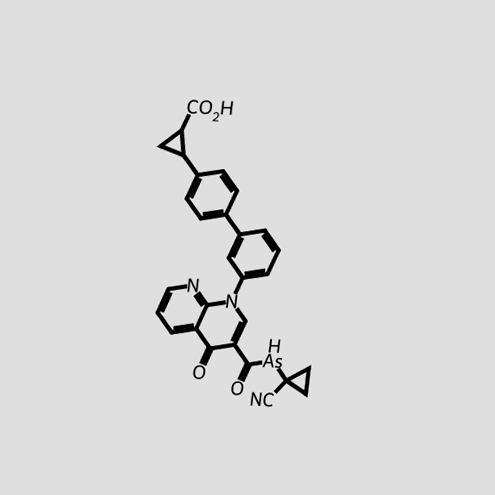 N#CC1([AsH]C(=O)c2cn(-c3cccc(-c4ccc(C5CC5C(=O)O)cc4)c3)c3ncccc3c2=O)CC1